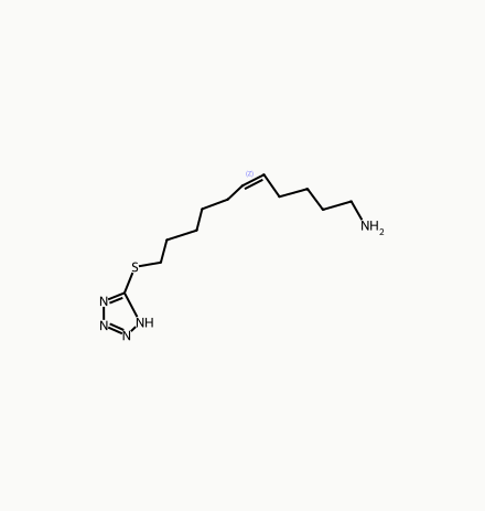 NCCCC/C=C\CCCCCSc1nnn[nH]1